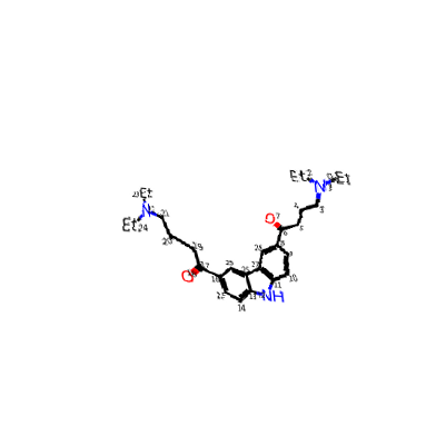 CCN(CC)CCCC(=O)c1ccc2[nH]c3ccc(C(=O)CCCN(CC)CC)cc3c2c1